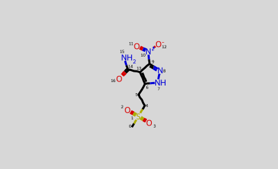 CS(=O)(=O)CCc1[nH]nc([N+](=O)[O-])c1C(N)=O